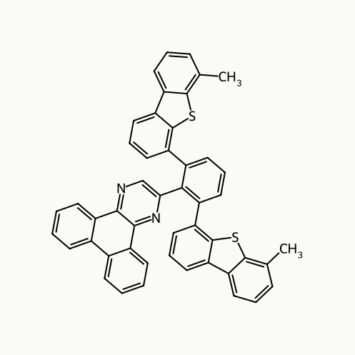 Cc1cccc2c1sc1c(-c3cccc(-c4cccc5c4sc4c(C)cccc45)c3-c3cnc4c5ccccc5c5ccccc5c4n3)cccc12